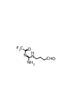 NC(=NC(=O)C(F)(F)F)NCCCC=O